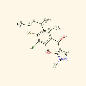 CCn1ncc(C(=O)c2cc(F)c3c(c2C)C(OC)CC(C)S3)c1O